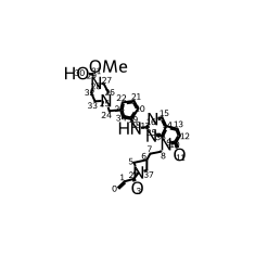 C=CC(=O)N1CC(CCn2c(=O)ccc3cnc(Nc4cccc(CN5CCN(C(O)OC)CC5)c4)nc32)C1